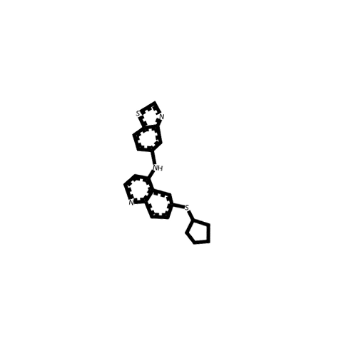 c1cc(Nc2ccc3scnc3c2)c2cc(SC3CCCC3)ccc2n1